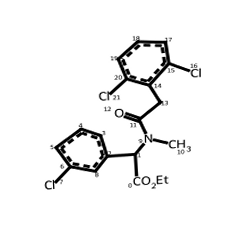 CCOC(=O)C(c1cccc(Cl)c1)N(C)C(=O)Cc1c(Cl)cccc1Cl